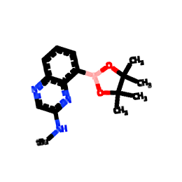 CC(C)(C)Nc1cnc2cccc(B3OC(C)(C)C(C)(C)O3)c2n1